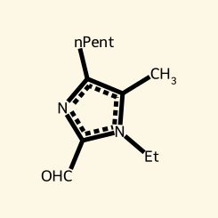 CCCCCc1nc(C=O)n(CC)c1C